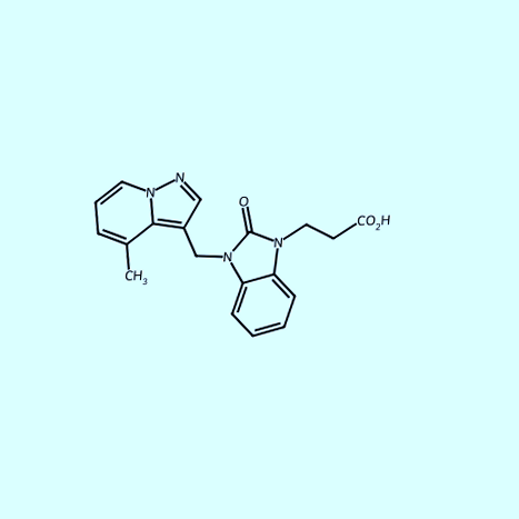 Cc1cccn2ncc(Cn3c(=O)n(CCC(=O)O)c4ccccc43)c12